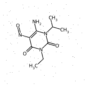 CCn1c(=O)c(N=O)c(N)n(C(C)C)c1=O